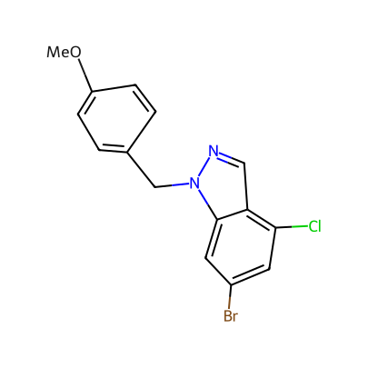 COc1ccc(Cn2ncc3c(Cl)cc(Br)cc32)cc1